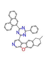 CC1C=Cc2cc3oc4cncc(-c5nc(-c6ccccc6)nc(-c6cc7ccccc7c7ccccc67)n5)c4c3cc2C1